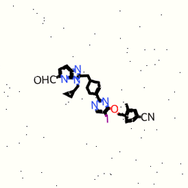 Cc1cc(C#N)ccc1COc1nc(C2=CCC(Cc3nc4ccc(C=O)nc4n3CC3CC3)CC2)ncc1I